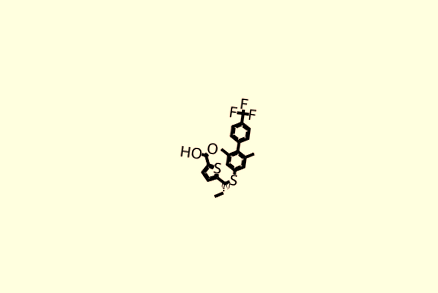 CC[C@@H](Sc1cc(C)c(-c2ccc(C(F)(F)F)cc2)c(C)c1)c1ccc(C(=O)O)s1